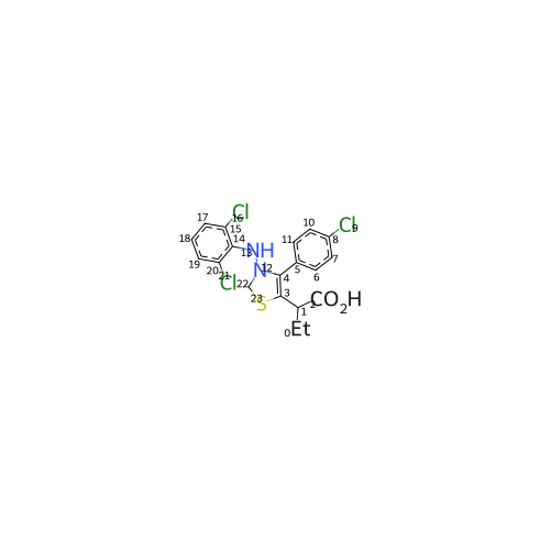 CCC(C(=O)O)C1=C(c2ccc(Cl)cc2)N(Nc2c(Cl)cccc2Cl)CS1